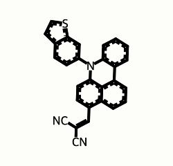 N#CC(C#N)=Cc1ccc2c3c(cccc13)-c1ccccc1N2c1ccc2ccsc2c1